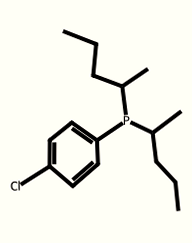 CCCC(C)P(c1ccc(Cl)cc1)C(C)CCC